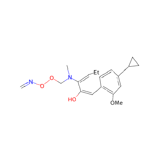 C=NOOCN(C)C(=C/CC)/C(O)=C\c1ccc(C2CC2)cc1OC